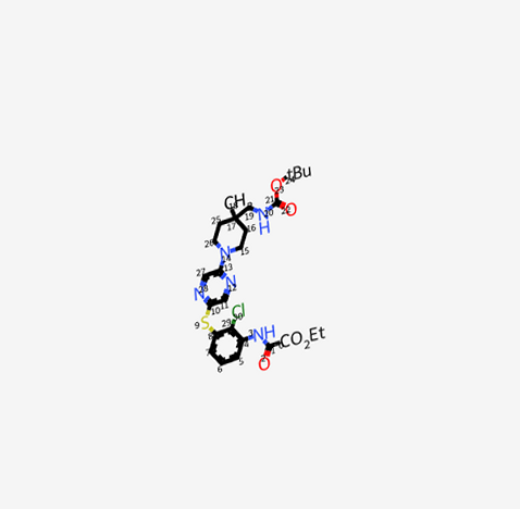 CCOC(=O)C(=O)Nc1cccc(Sc2cnc(N3CCC(C)(CNC(=O)OC(C)(C)C)CC3)cn2)c1Cl